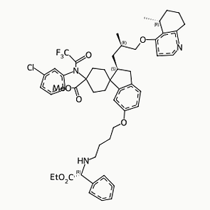 CCOC(=O)[C@H](NCCCCOc1ccc2c(c1)C1(CCC(C(=O)OC)(N(C(=O)C(F)(F)F)c3cccc(Cl)c3)CC1)[C@@H](C[C@@H](C)COc1ccnc3c1[C@H](C)CCC3)C2)c1ccccc1